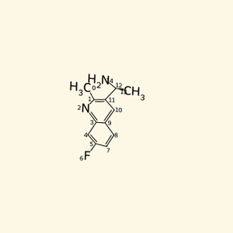 Cc1nc2cc(F)ccc2cc1[C@H](C)N